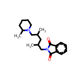 CC(CC(C)CN1CCCCC1C)CN1C(=O)c2ccccc2C1=O